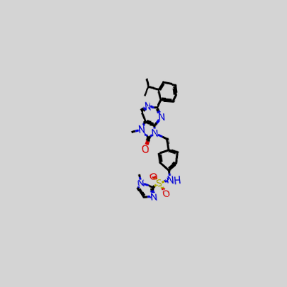 CC(C)c1ccccc1-c1ncc2c(n1)n(Cc1ccc(NS(=O)(=O)c3nccn3C)cc1)c(=O)n2C